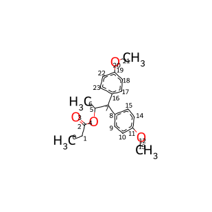 CCC(=O)OC(C)C(c1ccc(OC)cc1)c1ccc(OC)cc1